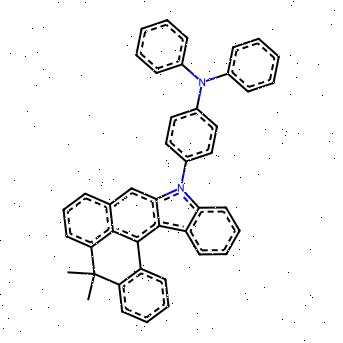 CC1(C)c2ccccc2-c2c3c1cccc3cc1c2c2ccccc2n1-c1ccc(N(c2ccccc2)c2ccccc2)cc1